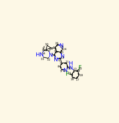 CC1CN(c2nc(-c3ccnc(Nc4c(F)cccc4F)c3)nc3cncc(C4CC4)c23)CCN1